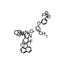 CN1C[C@H](Oc2cccc(S(=O)(=O)F)c2)C[C@H]1COc1nc(N2CC3CCC(C2)N3)c2cnc(-c3cccc4cccc(Cl)c34)c(F)c2n1